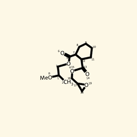 COC(C)COC(=O)C1CCCCC1C(=O)OCC1CO1